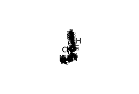 Cc1ccnnc1-c1ccc2nccc(Oc3cc(F)c(CC(=O)Nc4cnn(C(C)(C)C)c4)cc3Cl)c2c1